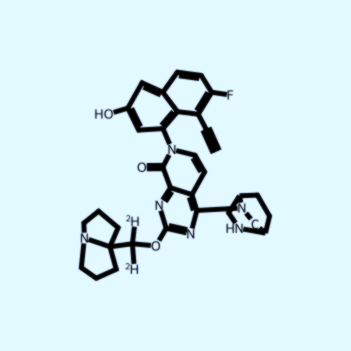 [2H]C([2H])(Oc1nc(N2CC3CCC2CN3)c2ccn(-c3cc(O)cc4ccc(F)c(C#C)c34)c(=O)c2n1)C12CCCN1CCC2